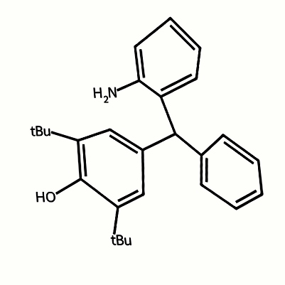 CC(C)(C)c1cc(C(c2ccccc2)c2ccccc2N)cc(C(C)(C)C)c1O